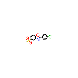 CS(=O)(=O)c1ccc2oc(-c3ccc(Cl)cc3)nc2c1